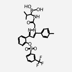 Cc1ccc(-c2cc(-c3ccccc3OS(=O)(=O)c3cccc(C(F)(F)F)c3)nn2CC(=O)NC(B(O)O)C(C)C)cc1